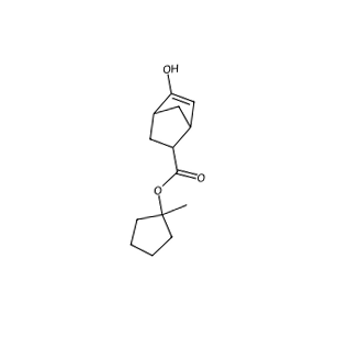 CC1(OC(=O)C2CC3CC2C=C3O)CCCC1